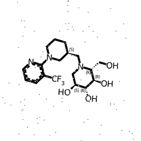 OC[C@@H]1[C@@H](O)[C@H](O)[C@@H](O)CN1C[C@@H]1CCCN(c2ncccc2C(F)(F)F)C1